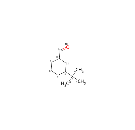 CC(C)(C)C1CCCC(C=O)C1